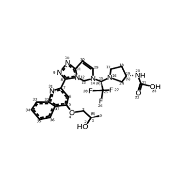 C[C@@H](O)COc1cc(-c2nnc3n2CN([C@@H](N2CC[C@H](NC(=O)O)C2)C(F)(F)F)C=C3)nc2ccccc12